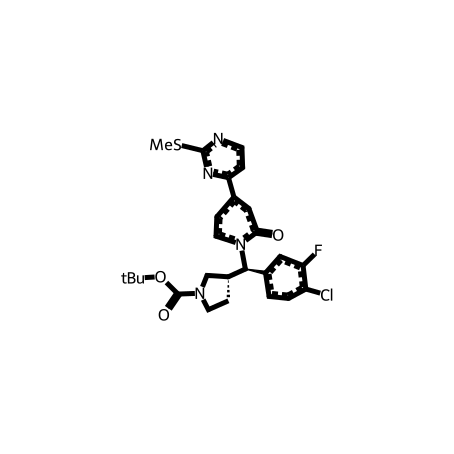 CSc1nccc(-c2ccn([C@@H](c3ccc(Cl)c(F)c3)[C@@H]3CCN(C(=O)OC(C)(C)C)C3)c(=O)c2)n1